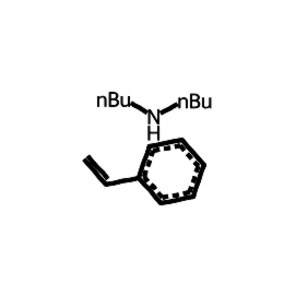 C=Cc1ccccc1.CCCCNCCCC